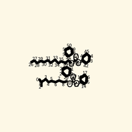 CC(C)CCCCCCCOP(Oc1ccccc1)Oc1ccccc1.CCCCCCCCCCCCOP(Oc1ccccc1)Oc1ccccc1